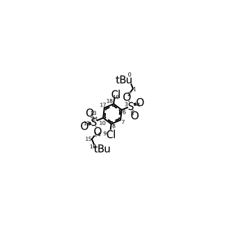 CC(C)(C)COS(=O)(=O)c1cc(Cl)c(S(=O)(=O)OCC(C)(C)C)cc1Cl